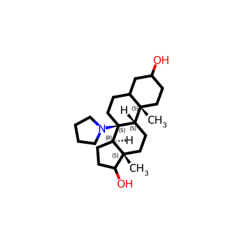 C[C@]12CCC(O)CC1CC[C@]1(N3CCCC3)[C@H]2CC[C@]2(C)C(O)CC[C@@H]12